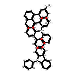 CC(C)(C)c1cc(-c2cccc3cccc(-c4ccccc4N(c4cccc(-c5ccc6c(c5)c5ccccc5n6-c5ccccc5)c4)c4ccccc4-c4ccccc4)c23)cc(C(C)(C)C)c1